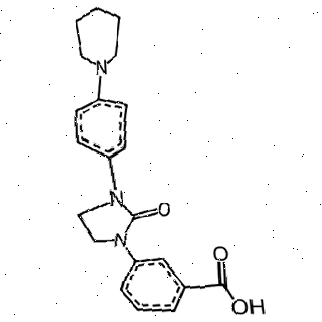 O=C(O)c1cccc(N2CCN(c3ccc(N4CCCCC4)cc3)C2=O)c1